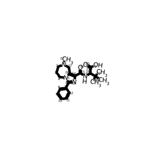 CN1CCCn2c(-c3ccccc3)nc(C(=O)NC(C(=O)O)C(C)(C)C)c2C1